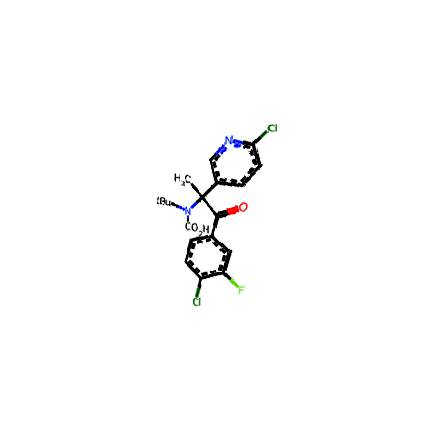 CC(C)(C)N(C(=O)O)C(C)(C(=O)c1ccc(Cl)c(F)c1)c1ccc(Cl)nc1